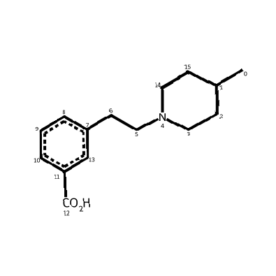 CC1CCN(CCc2cccc(C(=O)O)c2)CC1